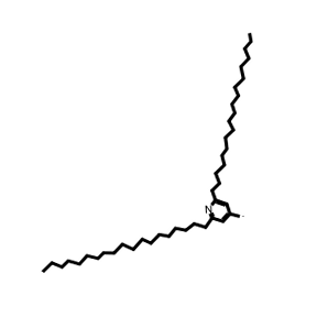 [CH2]c1cc(CCCCCCCCCCCCCCCCCCC)nc(CCCCCCCCCCCCCCCCCCC)c1